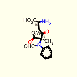 COC(=O)[C@@](C)(C(=O)C[C@H](N)C(=O)O)N(C=O)c1ccccc1